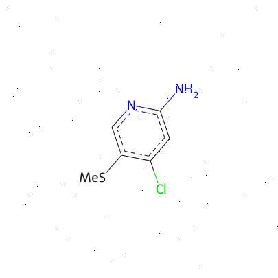 CSc1cnc(N)cc1Cl